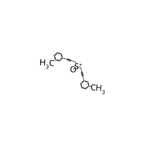 Cc1cccc(C#CC[S+]([O-])CC#Cc2cccc(C)c2)c1